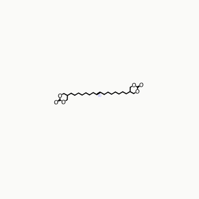 O=C1OCC(CCCCCCC/C=C/CCCCCCCC2COC(=O)OC2)CO1